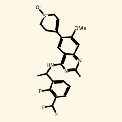 COc1cc2nc(C)nc(NC(C)c3cccc(C(F)F)c3F)c2cc1C1=CC[S+]([O-])CC1